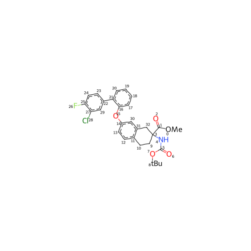 COC(=O)C1(NC(=O)OC(C)(C)C)CCc2ccc(Oc3ccccc3-c3ccc(F)c(Cl)c3)cc2C1